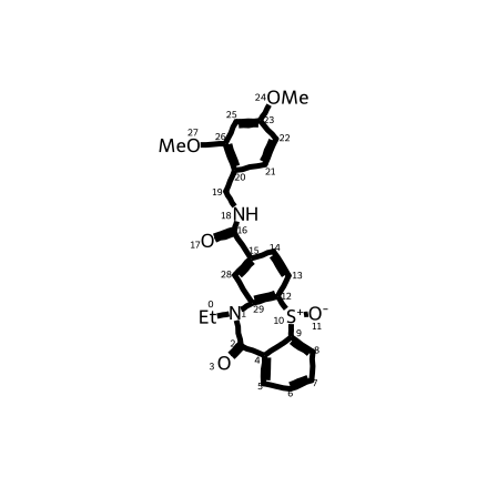 CCN1C(=O)c2ccccc2[S+]([O-])c2ccc(C(=O)NCc3ccc(OC)cc3OC)cc21